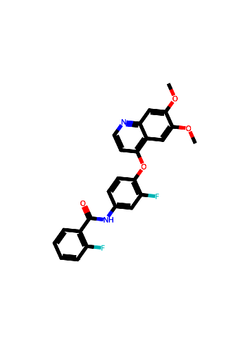 COc1cc2nccc(Oc3ccc(NC(=O)c4ccc[c]c4F)cc3F)c2cc1OC